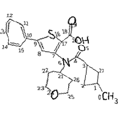 CC1CC(C(=O)N(c2cc(-c3ccccc3)sc2C(=O)O)C2CCOCC2)C1